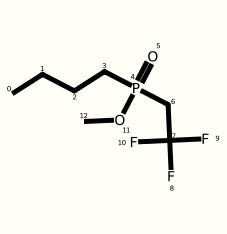 CCCCP(=O)(CC(F)(F)F)OC